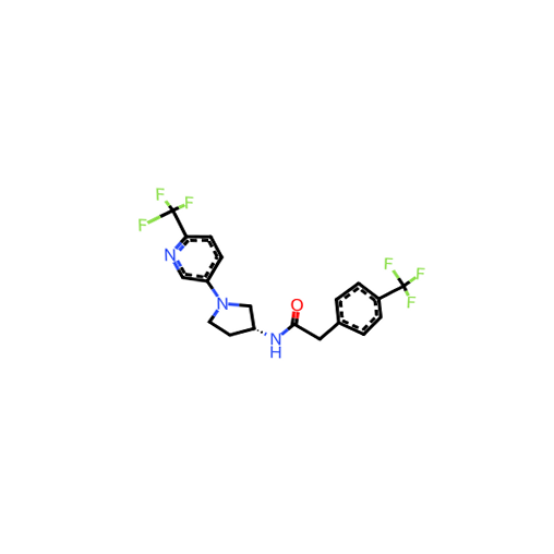 O=C(Cc1ccc(C(F)(F)F)cc1)N[C@@H]1CCN(c2ccc(C(F)(F)F)nc2)C1